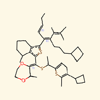 CC/C=C/C(=C(/CCCC1CCC1)C(C)=C(C)C)c1sc(/C(SC(C)C2=CCC(C3CCC3)=C(C)S2)=C2\OCCOC2C)c2c1CCCC2C